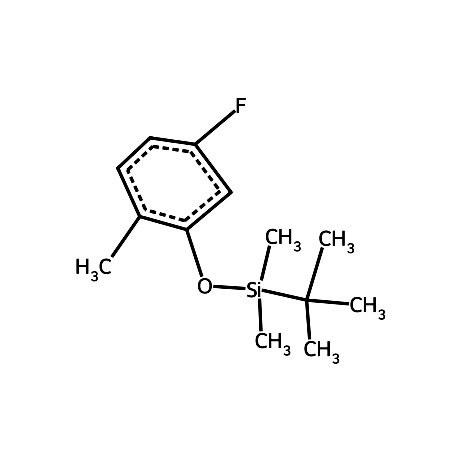 Cc1ccc(F)cc1O[Si](C)(C)C(C)(C)C